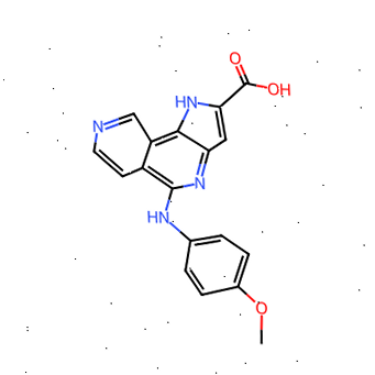 COc1ccc(Nc2nc3cc(C(=O)O)[nH]c3c3cnccc23)cc1